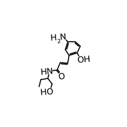 CCC(CO)NC(=O)C=Cc1cc(N)ccc1O